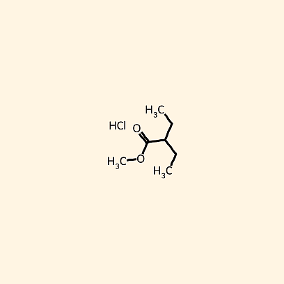 CCC(CC)C(=O)OC.Cl